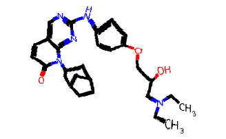 CCN(CC)CC(O)COc1ccc(Nc2ncc3ccc(=O)n(C4CC5CCC4C5)c3n2)cc1